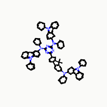 CC1(C)c2cc(-c3nc(N(c4ccccc4)c4ccc5c(c4)c4ccccc4n5-c4ccccc4)nc(N(c4ccccc4)c4ccc5c(c4)c4ccccc4n5-c4ccccc4)n3)ccc2-c2ccc(N(c3ccccc3)c3ccc4c(c3)c3ccccc3n4-c3ccccc3)cc21